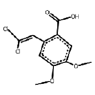 COc1cc(C=C(Cl)Cl)c(C(=O)O)cc1OC